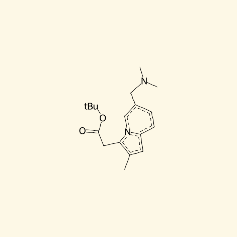 Cc1cc2ccc(CN(C)C)cn2c1CC(=O)OC(C)(C)C